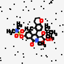 Cc1c(-c2c(C(OC(C)(C)C)C(=O)O)n(C)c(=O)c3cc(OS(=O)(=O)N(C)C)ccc23)ccc2c1CCCO2